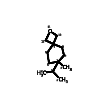 CC(C)C1(C)CCC2(CC1)COC2